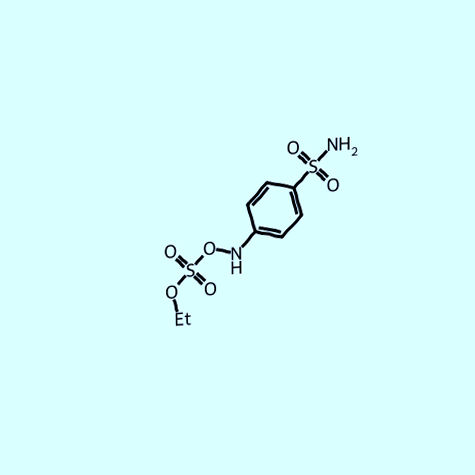 CCOS(=O)(=O)ONc1ccc(S(N)(=O)=O)cc1